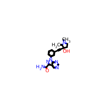 C=C1N(C)CC[C@@]1(O)C#Cc1cccc(-n2nc(C(N)=O)c3cncnc32)c1